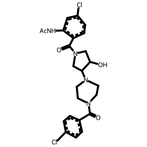 CC(=O)Nc1cc(Cl)ccc1C(=O)N1CC(O)C(N2CCN(C(=O)c3ccc(Cl)cc3)CC2)C1